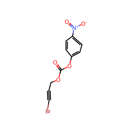 O=C(OCC#CBr)Oc1ccc([N+](=O)[O-])cc1